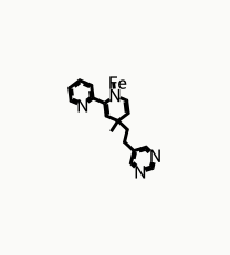 CC1(CCc2cncnc2)C=C[N]([Fe])C(c2ccccn2)=C1